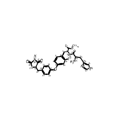 COC(=O)C(Cc1ccc(Oc2ccc(CC3SC(=O)NC3=O)cc2)cc1F)NC(=O)C(N)Cc1c[nH]cn1